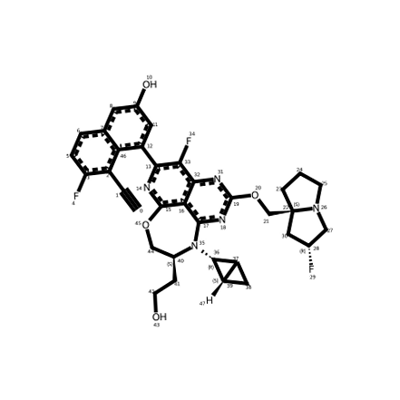 C#Cc1c(F)ccc2cc(O)cc(-c3nc4c5c(nc(OC[C@@]67CCCN6C[C@H](F)C7)nc5c3F)N([C@@H]3C5C[C@@H]53)[C@@H](CCO)CO4)c12